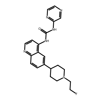 O=C(Nc1cnccn1)Nc1ccnc2ccc(C3CCN(CCF)CC3)cc12